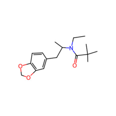 CCN(C(=O)C(C)(C)C)C(C)Cc1ccc2c(c1)OCO2